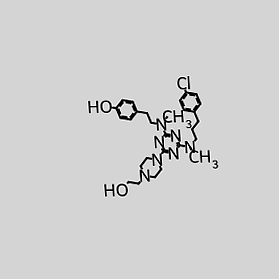 CN(CCCc1ccc(Cl)cc1)c1nc(N(C)CCc2ccc(O)cc2)nc(N2CCN(CCO)CC2)n1